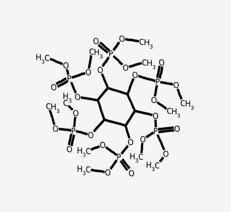 COP(=O)(OC)OC1C(OP(=O)(OC)OC)C(OP(=O)(OC)OC)C(OP(=O)(OC)OC)C(OP(=O)(OC)OC)C1OP(=O)(OC)OC